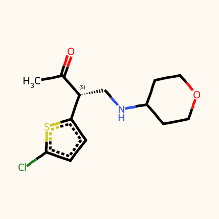 CC(=O)[C@H](CNC1CCOCC1)c1ccc(Cl)s1